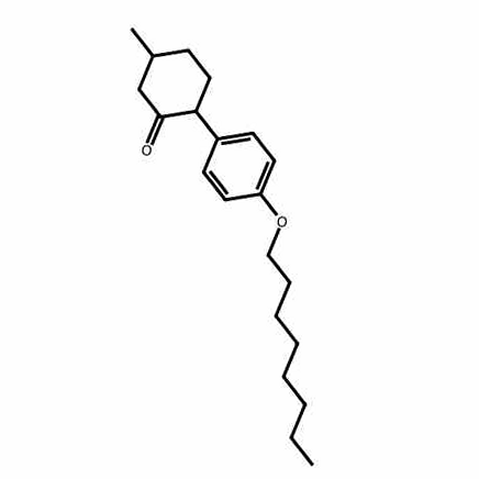 CCCCCCCCOc1ccc(C2CCC(C)CC2=O)cc1